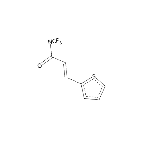 O=C(C=Cc1cccs1)NC(F)(F)F